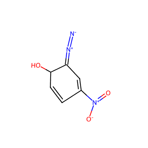 [N-]=[N+]=C1C=C([N+](=O)[O-])C=CC1O